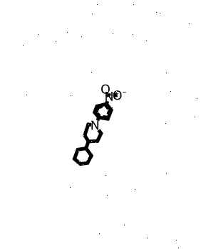 O=[N+]([O-])c1ccc(N2CCC(C3CCCCC3)CC2)cc1